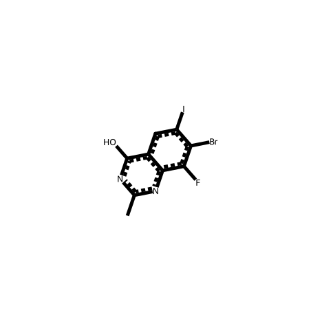 Cc1nc(O)c2cc(I)c(Br)c(F)c2n1